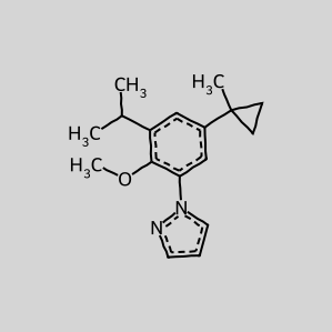 COc1c(C(C)C)cc(C2(C)CC2)cc1-n1cccn1